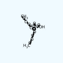 CCOCCOCCOCCOc1cc(OCCOCCOCCOCC)cc(N(CC(=O)O)CC(=O)O)c1